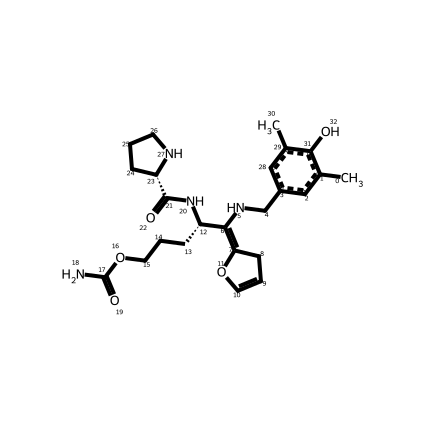 Cc1cc(CNC(=C2CC=CO2)[C@H](CCCOC(N)=O)NC(=O)[C@@H]2CCCN2)cc(C)c1O